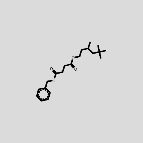 CC(CCOC(=O)CCC(=O)OCc1ccccc1)CC(C)(C)C